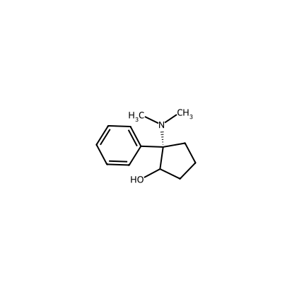 CN(C)[C@]1(c2ccccc2)CCCC1O